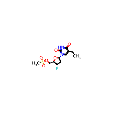 CCc1cn([C@H]2C[C@H](F)[C@@H](COS(C)(=O)=O)O2)c(=O)[nH]c1=O